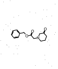 O=C1CCCN(CC(=O)OCc2ccccc2)C1